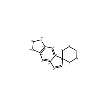 C1=CC2(CCCCC2)c2cc3c(cc21)OCO3